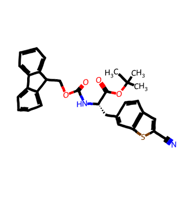 CC(C)(C)OC(=O)[C@H](Cc1ccc2cc(C#N)sc2c1)NC(=O)OCC1c2ccccc2-c2ccccc21